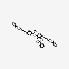 Cc1c(OC(=O)c2ccc(OCCCOCC3(C)COC3)cc2)ccc(OCCCOCC2(C)COC2)c1OC(=O)c1ccccc1